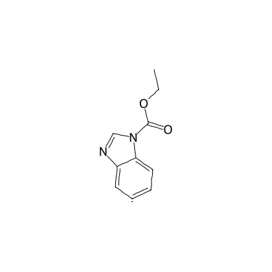 CCOC(=O)n1cnc2c[c]ccc21